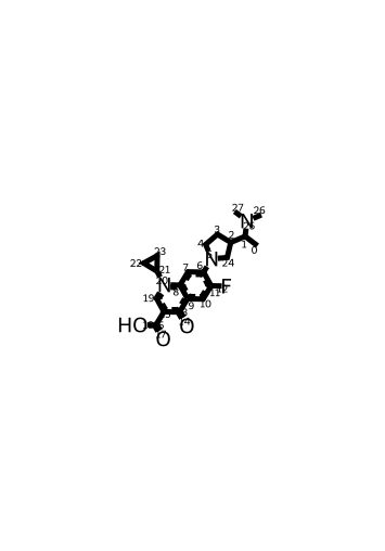 CC(C1CCN(c2cc3c(cc2F)c(=O)c(C(=O)O)cn3C2CC2)C1)N(C)C